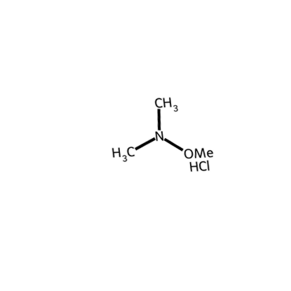 CON(C)C.Cl